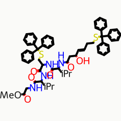 COC(=O)CNC(=O)C(NC(=O)C(CSC(c1ccccc1)(c1ccccc1)c1ccccc1)NC(=O)C(NC(=O)CC(O)C=CCCSC(c1ccccc1)(c1ccccc1)c1ccccc1)C(C)C)C(C)C